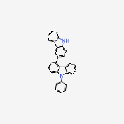 c1ccc(-n2c3ccccc3c3c(-c4ccc5[nH]c6ccccc6c5c4)cccc32)cc1